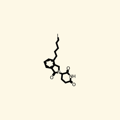 O=C1CCC(N2Cc3c(CCCCCI)cccc3C2=O)C(=O)N1